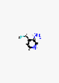 Nc1cnccc1CF